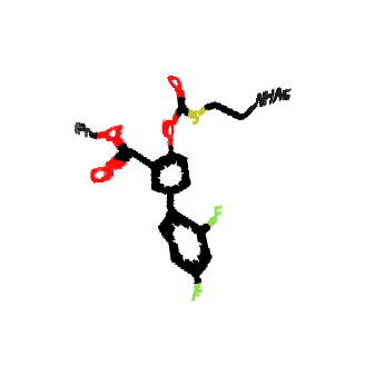 CC(=O)NCCSC(=O)Oc1ccc(-c2ccc(F)cc2F)cc1C(=O)OC(C)C